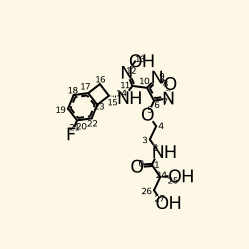 O=C(NCCOc1nonc1/C(=N\O)N[C@H]1Cc2ccc(F)cc21)[C@@H](O)CO